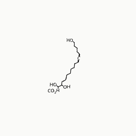 O=C(O)C(O)C(O)CCCCCCCC=C=CCCCCO